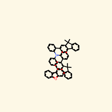 CC1(C)c2ccccc2-c2ccc(-c3ccccc3N(c3cccc(-c4cccc5oc6ccccc6c45)c3)c3ccccc3-c3cccc4c3C(C)(C)c3ccccc3-4)cc21